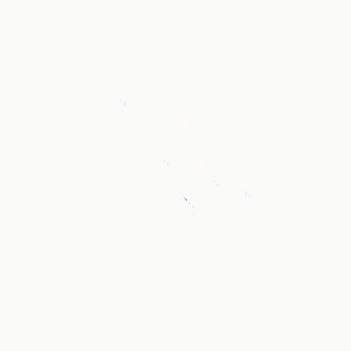 CCc1nc(N[C@H]2CCN(C3(CS(=O)(=O)c4ccccc4)CCC(N(C)C(C)C)CC3)C2=O)c2cc(Cl)ccc2n1